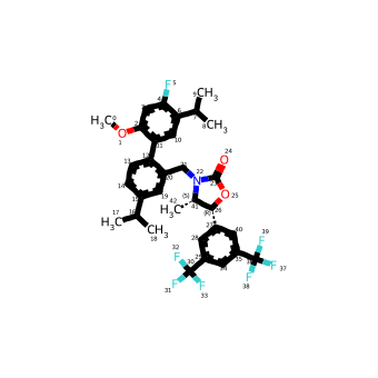 COc1cc(F)c(C(C)C)cc1-c1ccc(C(C)C)cc1CN1C(=O)O[C@H](c2cc(C(F)(F)F)cc(C(F)(F)F)c2)[C@@H]1C